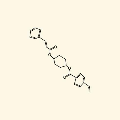 C=Cc1ccc(C(=O)OC2CCC(OC(=O)/C=C/c3ccccc3)CC2)cc1